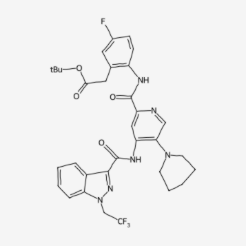 CC(C)(C)OC(=O)Cc1cc(F)ccc1NC(=O)c1cc(NC(=O)c2nn(CC(F)(F)F)c3ccccc23)c(N2CCCCC2)cn1